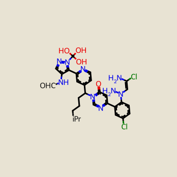 CC(C)CCCC(c1ccnc(-c2c(NC=O)cnn2C(O)(O)O)c1)n1cnc(-c2cc(Cl)ccc2N(N)/C=C(\N)Cl)cc1=O